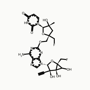 C#C[C@]1(O)[C@H](n2cnc3c(N)nc(OC[C@]4(CF)C[C@@](C)(O)[C@H](n5ccc(=O)[nH]c5=O)O4)nc32)O[C@]2(CF)C(O)[C@@]21O